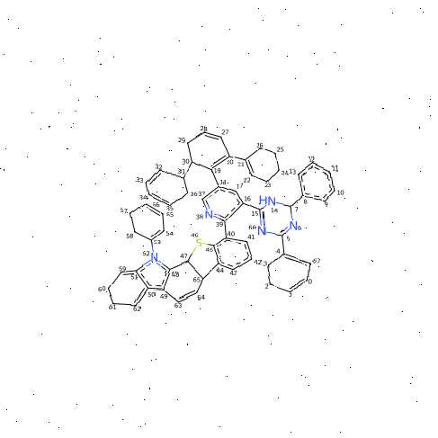 C1=CCCC(C2=NC(c3ccccc3)NC(c3cc(C4=C(C5=CCCCC5)C=CCC4C4C=CC=CC4)cnc3-c3cccc4c3SC3c5c(c6c(n5C5=CC=CCC5)=CCCC=6)C=CC43)=N2)=C1